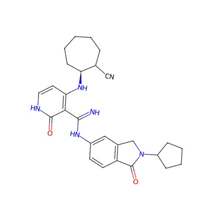 N#CC1CCCCC[C@@H]1Nc1cc[nH]c(=O)c1C(=N)Nc1ccc2c(c1)CN(C1CCCC1)C2=O